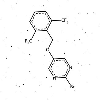 FC(F)(F)c1cccc(C(F)(F)F)c1COc1cnc(Br)nc1